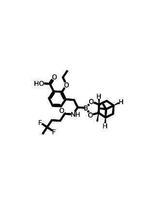 CCOc1c(CC(NC(=O)CCC(C)(F)F)B2O[C@@H]3C[C@@H]4C[C@@H](C4(C)C)[C@]3(C)O2)cccc1C(=O)O